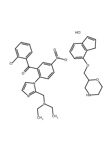 C1=Cc2cccc(OCC3CNCCO3)c2C1.CCN(CC)Cc1nccn1-c1ccc([N+](=O)[O-])cc1C(=O)c1ccccc1Cl.Cl